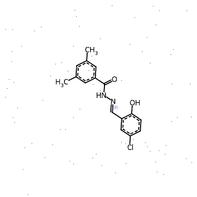 Cc1cc(C)cc(C(=O)N/N=C/c2cc(Cl)ccc2O)c1